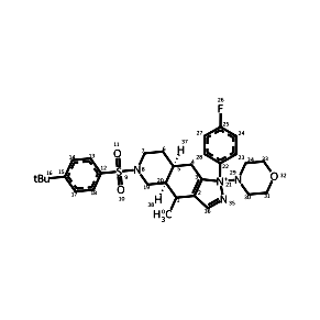 CC1C2=C(C[C@@H]3CCN(S(=O)(=O)c4ccc(C(C)(C)C)cc4)C[C@H]13)[N+](c1ccc(F)cc1)(N1CCOCC1)N=C2